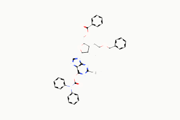 CC(=O)Nc1nc(OC(=O)N(c2ccccc2)c2ccccc2)c2ncn([C@@H]3O[C@H](COC(=O)c4ccccc4)[C@@H](CCOCc4ccccc4)[C@H]3OC(C)=O)c2n1